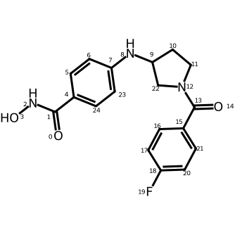 O=C(NO)c1ccc(NC2CCN(C(=O)c3ccc(F)cc3)C2)cc1